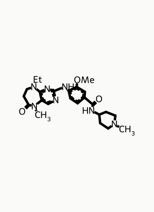 CCN1CCC(=O)N(C)c2cnc(Nc3ccc(C(=O)NC4CCN(C)CC4)cc3OC)nc21